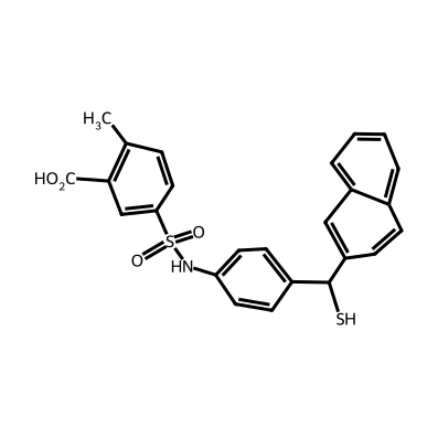 Cc1ccc(S(=O)(=O)Nc2ccc(C(S)c3ccc4ccccc4c3)cc2)cc1C(=O)O